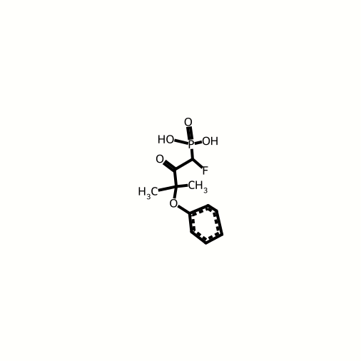 CC(C)(Oc1ccccc1)C(=O)C(F)P(=O)(O)O